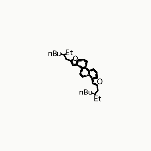 CCCCC(CC)Cc1cc2c(ccc3c2ccc2c4cc(CC(CC)CCCC)oc4ccc23)o1